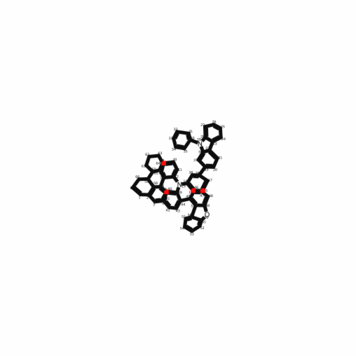 C1=Cc2cccc(-c3ccccc3N(c3cccc(-c4ccc5c6ccccc6n(-c6ccccc6)c5c4)c3)c3ccccc3-c3cccc4oc5ccccc5c34)c2C(C2CCCCC2)C1